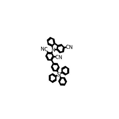 N#Cc1ccc2c(c1)c1ccccc1n2-c1c(C#N)ccc(-c2ccc([Si](c3ccccc3)(c3ccccc3)c3ccccc3)cc2)c1C#N